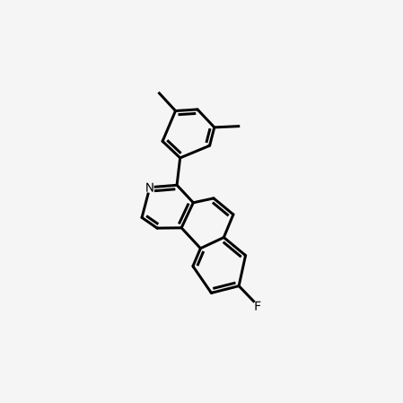 Cc1cc(C)cc(-c2nccc3c2ccc2cc(F)ccc23)c1